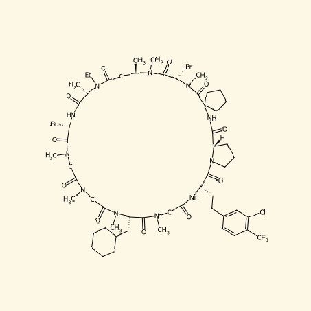 CCC(C)[C@@H]1NC(=O)[C@H](C)N(CC)C(=O)C[C@@H](C)N(C)C(=O)[C@H](C(C)C)N(C)C(=O)C2(CCCC2)NC(=O)[C@@H]2CCCN2C(=O)[C@H](CCc2ccc(C(F)(F)F)c(Cl)c2)NC(=O)CN(C)C(=O)[C@H](CC2CCCCC2)N(C)C(=O)CN(C)C(=O)CN(C)C1=O